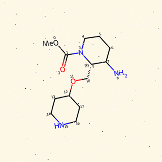 COC(=O)N1CCCC(N)[C@@H]1COC1CCNCC1